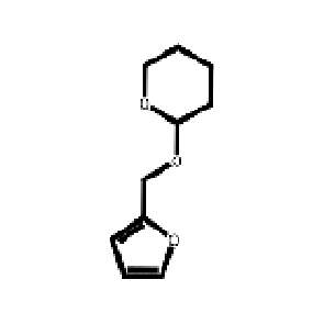 c1coc(COC2CCCCO2)c1